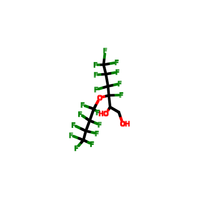 OCC(O)C(F)(OC(F)(F)C(F)(F)C(F)(F)C(F)(F)F)C(F)(F)C(F)(F)C(F)(F)F